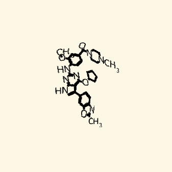 COc1cc(C(=O)N2CCN(C)CC2)ccc1Nc1nc(OC2CCCC2)c2c(-c3ccc4nc(C)oc4c3)c[nH]c2n1